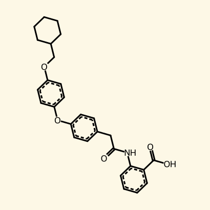 O=C(Cc1ccc(Oc2ccc(OCC3CCCCC3)cc2)cc1)Nc1ccccc1C(=O)O